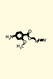 COc1cc(N)ccc1C(=O)OCN=[N+]=[N-]